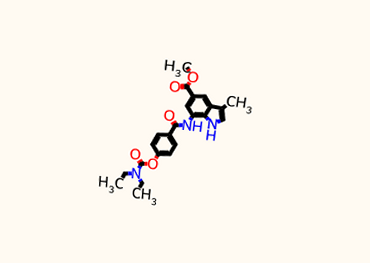 CCN(CC)C(=O)Oc1ccc(C(=O)Nc2cc(C(=O)OC)cc3c(C)c[nH]c23)cc1